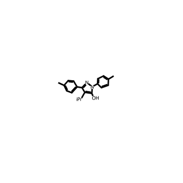 Cc1ccc(-c2nn(-c3ccc(C)cc3)c(O)c2C(C)C)cc1